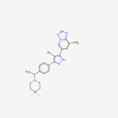 Cc1cc(-c2[nH]nc(-c3ccc(C(C)N4CCC(F)(F)CC4)cc3)c2C(C)C)cn2ncnc12